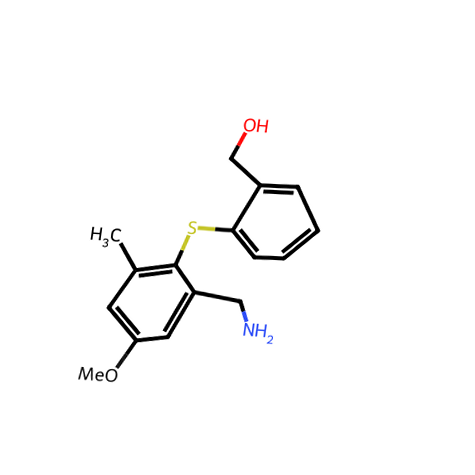 COc1cc(C)c(Sc2ccccc2CO)c(CN)c1